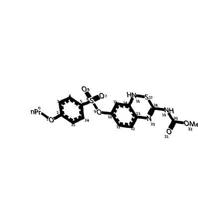 CCCOc1ccc(S(=O)(=O)Oc2ccc3c(c2)NSC(NC(=O)OC)=N3)cc1